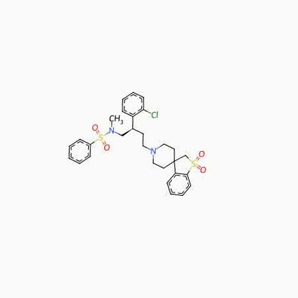 CN(C[C@H](CCN1CCC2(CC1)CS(=O)(=O)c1ccccc12)c1ccccc1Cl)S(=O)(=O)c1ccccc1